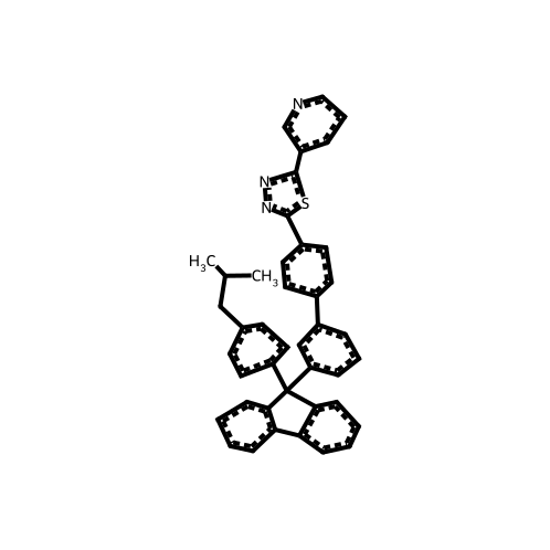 CC(C)Cc1ccc(C2(c3cccc(-c4ccc(-c5nnc(-c6cccnc6)s5)cc4)c3)c3ccccc3-c3ccccc32)cc1